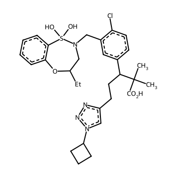 CCC1CN(Cc2cc(C(CCc3cn(C4CCC4)nn3)C(C)(C)C(=O)O)ccc2Cl)S(O)(O)c2ccccc2O1